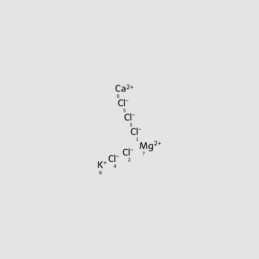 [Ca+2].[Cl-].[Cl-].[Cl-].[Cl-].[Cl-].[K+].[Mg+2]